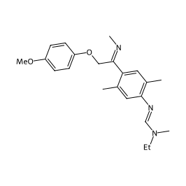 CCN(C)/C=N/c1cc(C)c(/C(COc2ccc(OC)cc2)=N/C)cc1C